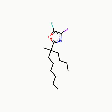 CCCCCCC(C)(CCCC)c1nc(I)c(F)o1